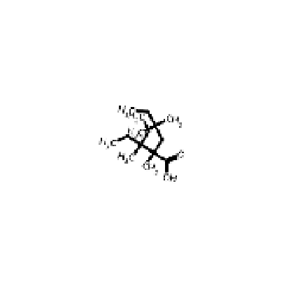 CCC(C)(C)CC(C)(C(=O)O)C(C)(CC)CC